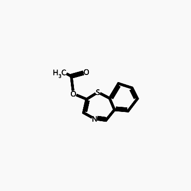 CC(=O)OC1=CN=Cc2ccccc2S1